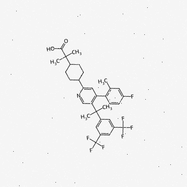 Cc1cc(F)ccc1-c1cc(C2CCC(C(C)(C)C(=O)O)CC2)ncc1C(C)(C)c1cc(C(F)(F)F)cc(C(F)(F)F)c1